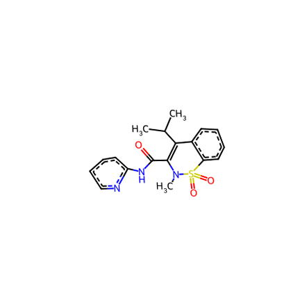 CC(C)C1=C(C(=O)Nc2ccccn2)N(C)S(=O)(=O)c2ccccc21